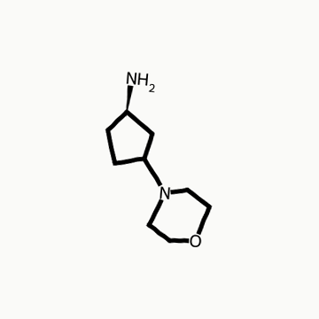 N[C@@H]1CCC(N2CCOCC2)C1